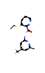 CCSc1cccnc1C(=O)Nc1cc(C(F)(F)F)cc(C)n1